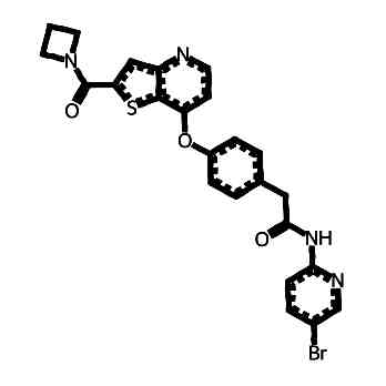 O=C(Cc1ccc(Oc2ccnc3cc(C(=O)N4CCC4)sc23)cc1)Nc1ccc(Br)cn1